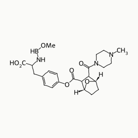 COBNC(Cc1ccc(OC(=O)C2C(C(=O)N3CCN(C)CC3)[C@@H]3CC[C@H]2O3)cc1)C(=O)O